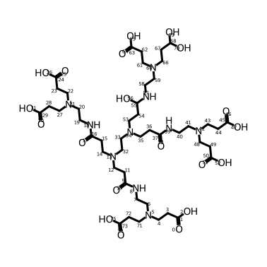 O=C(O)CCN(CCNC(=O)CCN(CCC(=O)NCCN(CCC(=O)O)CCC(=O)O)CCN(CCC(=O)NCCN(CCC(=O)O)CCC(=O)O)CCC(O)NCCN(CCC(=O)O)CCC(O)O)CCC(=O)O